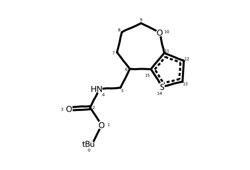 CC(C)(C)OC(=O)NCC1CCCOc2ccsc21